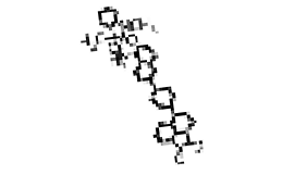 CN1c2ccccc2C(C)(C)C12C=Nc1c(ccc3cc(-c4ccc(-c5ccc6c7c(cccc57)C(=O)C6=O)cc4)ccc13)O2